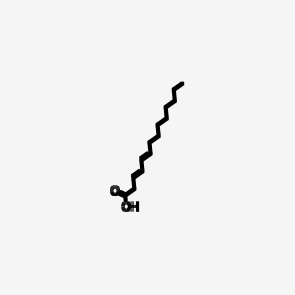 CCCCCCCC/C=C/C=C/CC(=O)O